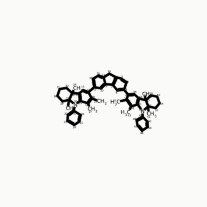 Cc1c(-c2ccc3c(c2)-c2cc(-c4cc5c(c(C)c4C)N(c4ccccc4)C4(C)CCCCC54C)ccc2C3)cc2c(c1C)N(c1ccccc1)C1(C)CCCCC21C